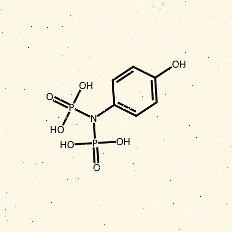 O=P(O)(O)N(c1ccc(O)cc1)P(=O)(O)O